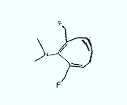 CN(C)c1c(F)[c]ccc1F